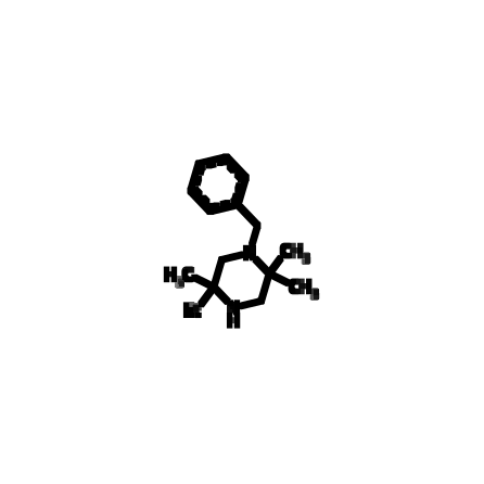 CCC1(C)CN(Cc2ccccc2)C(C)(C)CN1